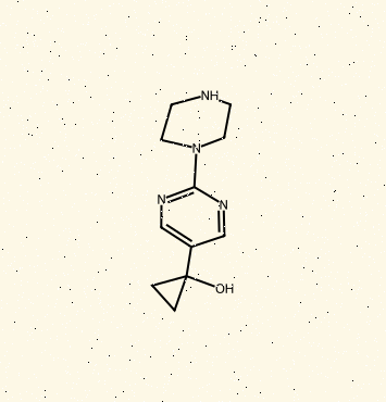 OC1(c2cnc(N3CCNCC3)nc2)CC1